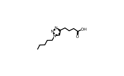 C[CH]CCCn1cc(CCCC(=O)O)nn1